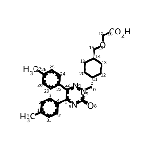 Cc1ccc(-c2nc(=O)n(C[C@H]3CC[C@H](COCC(=O)O)CC3)nc2-c2ccc(C)cc2)cc1